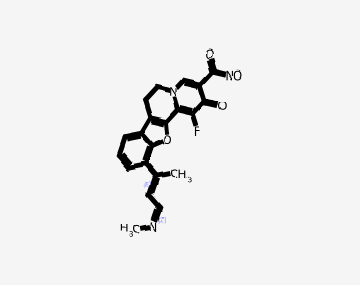 C/N=C\C=C(/C)c1cccc2c3c(oc12)-c1c(F)c(=O)c(C(=O)N=O)cn1CC3